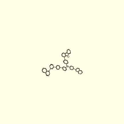 c1cc(-c2ccc(-c3cccc(N(c4ccc(-c5ccc6ccccc6c5)cc4)c4ccc(-c5cccc6c5oc5ccccc56)cc4)c3)cc2)cc(-c2cccc3ccccc23)c1